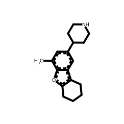 Cc1cc(C2CCNCC2)cc2c3c(oc12)CCCC3